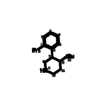 CC(C)c1ccccc1C1CNCCC1C(C)(C)C